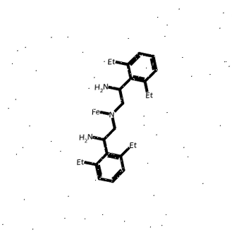 CCc1cccc(CC)c1C(N)C[N]([Fe])CC(N)c1c(CC)cccc1CC